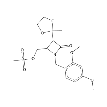 COc1ccc(CN2C(=O)C(C3(C)OCCO3)C2COS(C)(=O)=O)c(OC)c1